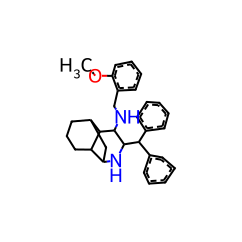 COc1ccccc1CNC1C(C(c2ccccc2)c2ccccc2)NC2CC3CCCC2C31